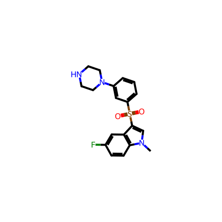 Cn1cc(S(=O)(=O)c2cccc(N3CCNCC3)c2)c2cc(F)ccc21